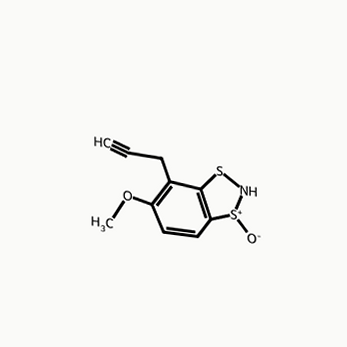 C#CCc1c(OC)ccc2c1SN[S+]2[O-]